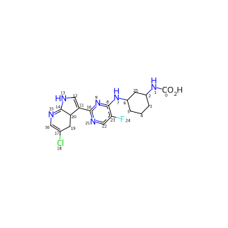 O=C(O)NC1CCCC(Nc2nc(C3=CNC4=NC=C(Cl)CC34)ncc2F)C1